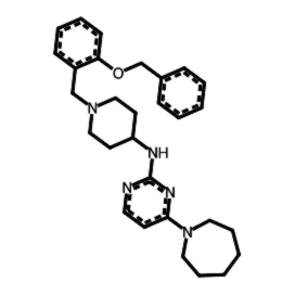 c1ccc(COc2ccccc2CN2CCC(Nc3nccc(N4CCCCCC4)n3)CC2)cc1